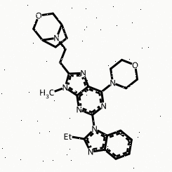 CCc1nc2ccccc2n1-c1nc(N2CCOCC2)c2nc(CCN3C4CCC3COC4)n(C)c2n1